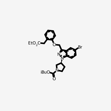 CCOC(=O)Cc1ccccc1OCc1nn([C@H]2CCN(C(=O)OCC(C)C)C2)c2ccc(Br)cc12